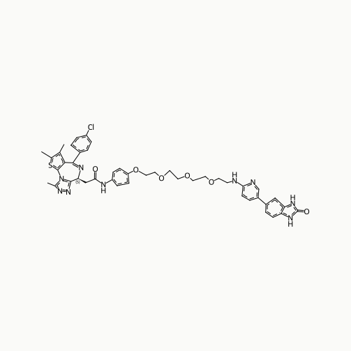 Cc1sc2c(c1C)C(c1ccc(Cl)cc1)=N[C@@H](CC(=O)Nc1ccc(OCCOCCOCCOCCNc3ccc(-c4ccc5[nH]c(=O)[nH]c5c4)cn3)cc1)c1nnc(C)n1-2